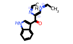 C\C=N/C=C(\N=C/C)C(=O)c1c[nH]c2ccccc12